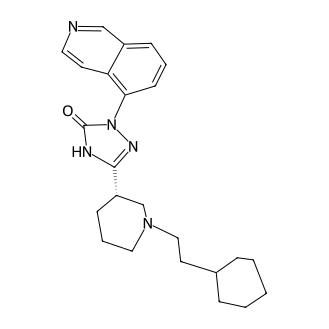 O=c1[nH]c([C@H]2CCCN(CCC3CCCCC3)C2)nn1-c1cccc2cnccc12